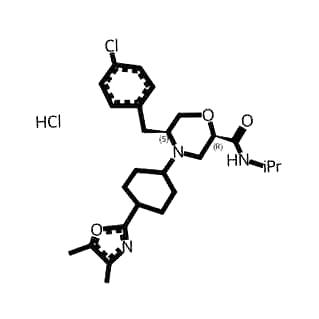 Cc1nc(C2CCC(N3C[C@H](C(=O)NC(C)C)OC[C@@H]3Cc3ccc(Cl)cc3)CC2)oc1C.Cl